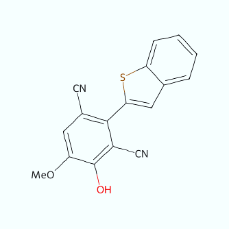 COc1cc(C#N)c(-c2cc3ccccc3s2)c(C#N)c1O